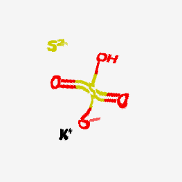 O=S(=O)([O-])O.[K+].[S-2]